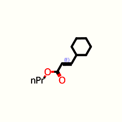 CCCOC(=O)/C=C/C1CCCCC1